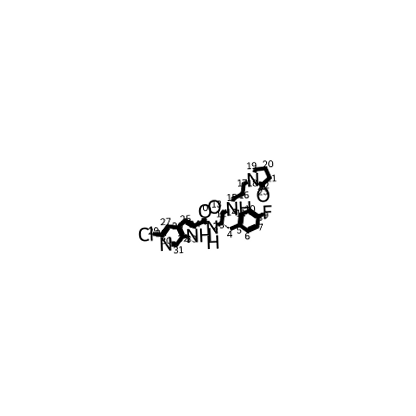 O=C(N[C@@H](Cc1ccc(F)cc1)C(=O)NCCCN1CCCC1=O)c1cc2cc(Cl)ncc2[nH]1